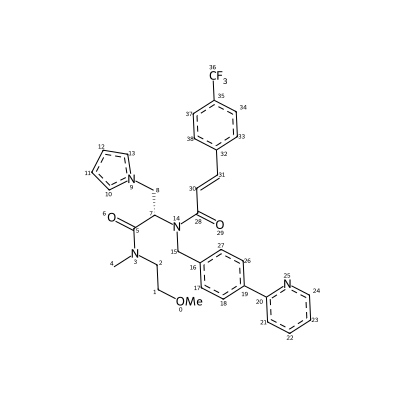 COCCN(C)C(=O)[C@H](Cn1cccc1)N(Cc1ccc(-c2ccccn2)cc1)C(=O)/C=C/c1ccc(C(F)(F)F)cc1